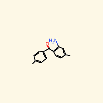 Cc1ccc(C(=O)c2ccc(C)cc2N)cc1